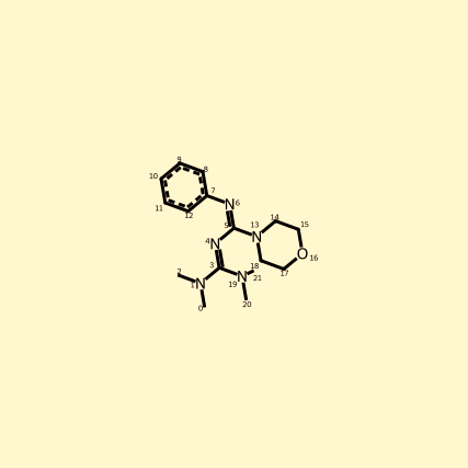 CN(C)C(=NC(=Nc1ccccc1)N1CCOCC1)N(C)C